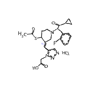 CC(=O)SC1CCN(C(C(=O)C2CC2)c2ccccc2F)C/C1=C\c1cnnn1CC(=O)O.Cl